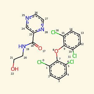 Clc1cccc(Cl)c1Oc1c(Cl)cccc1Cl.O=C(NCCO)c1cnccn1